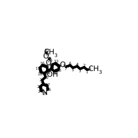 CCCCCCCCOc1ccc(C2(O)C=CC=CC2CCc2ccncc2)c(OCOC)c1